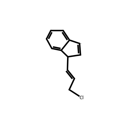 ClCC=CC1C=[C]c2ccccc21